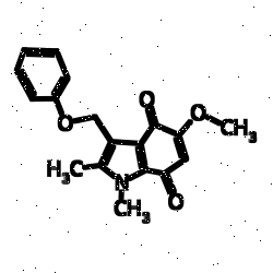 COC1=CC(=O)c2c(c(COc3ccccc3)c(C)n2C)C1=O